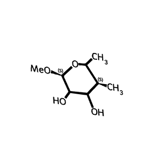 CO[C@H]1OC(C)[C@@H](C)C(O)C1O